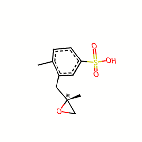 Cc1ccc(S(=O)(=O)O)cc1C[C@]1(C)CO1